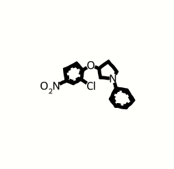 O=[N+]([O-])c1ccc(OC2CCN(c3ccccc3)C2)c(Cl)c1